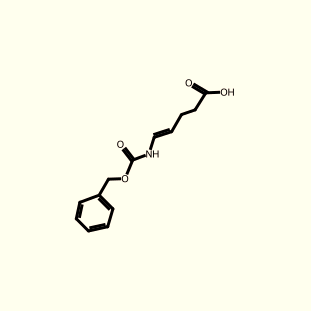 O=C(O)CCC=CNC(=O)OCc1ccccc1